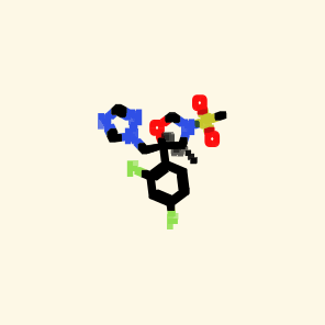 C[C@H]1N(S(C)(=O)=O)CO[C@@]1(Cn1cncn1)c1ccc(F)cc1F